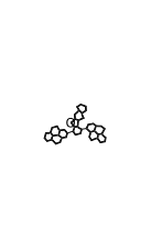 c1ccc2cc3c(cc2c1)oc1c(-c2cc4ccc5cccc6ccc(c2)c4c56)ccc(-c2ccc4ccc5cccc6ccc2c4c56)c13